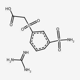 N=C(N)N.NS(=O)(=O)c1cccc(S(=O)(=O)CC(=O)O)c1